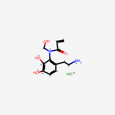 C=CC(=O)N(CO)c1c(CCN)ccc(O)c1O.Cl